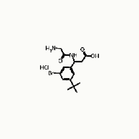 CC(C)(C)c1cc(Br)cc(C(CC(=O)O)NC(=O)CN)c1.Cl